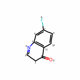 O=C1CC=Nc2cc(F)ccc21